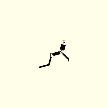 B#S(I)=PCC